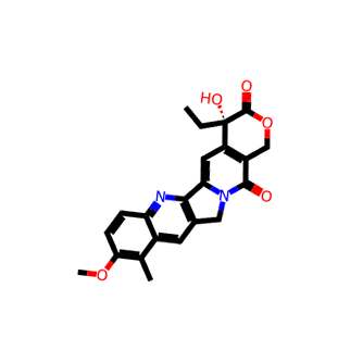 CC[C@@]1(O)C(=O)OCc2c1cc1n(c2=O)Cc2cc3c(C)c(OC)ccc3nc2-1